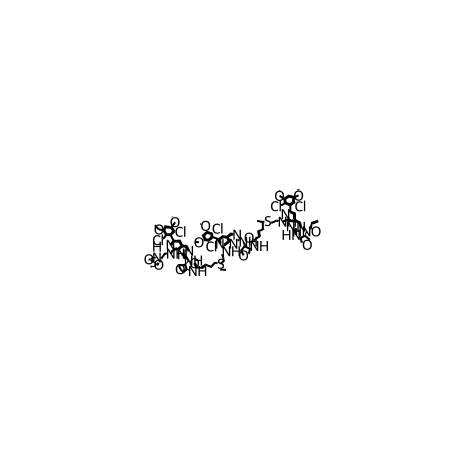 C=CC(=O)N[C@H]1COC[C@H]1Nc1ncc2cc(-c3c(Cl)c(OC)cc(OC)c3Cl)nc(NCCSC(C)C/C=C/C(=O)N[C@H]3COC[C@H]3Nc3ncc4cc(-c5c(Cl)c(OC)cc(OC)c5Cl)nc(NCC/S(=C\C)CC/C=C/C(=O)N[C@H]5COC[C@H]5Nc5ncc6cc(-c7c(Cl)c(OC)cc(OC)c7Cl)nc(NCCNS(C)(=O)=O)c6n5)c4n3)c2n1